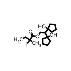 CCC(C)(I)C(=O)OCC(C1(O)CCCC1)C1(O)CCCC1